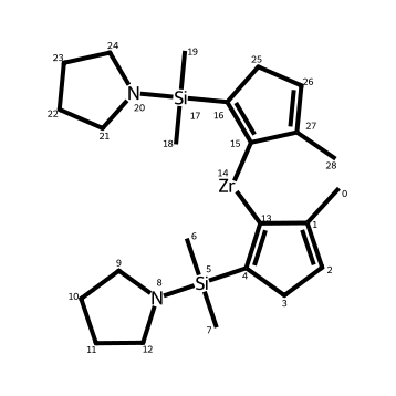 CC1=CCC([Si](C)(C)N2CCCC2)=[C]1[Zr][C]1=C([Si](C)(C)N2CCCC2)CC=C1C